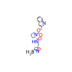 BC1=NO[C@H](CNC(=O)[C@@H]2CCCN2C(=O)OCc2cnc3ccccc3c2)C1